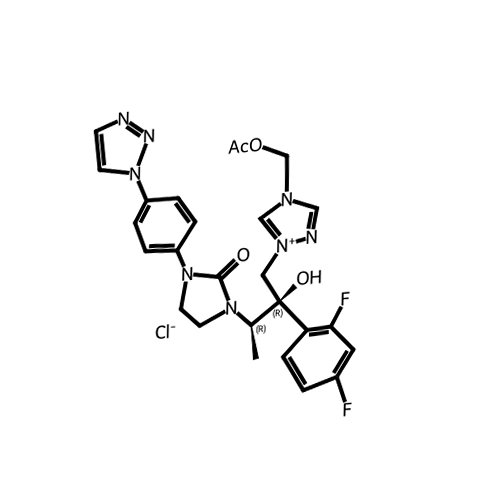 CC(=O)OCn1cn[n+](C[C@](O)(c2ccc(F)cc2F)[C@@H](C)N2CCN(c3ccc(-n4ccnn4)cc3)C2=O)c1.[Cl-]